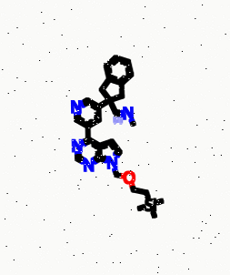 C/N=C/C1(c2cncc(-c3ncnc4c3ccn4COCC[Si](C)(C)C)c2)Cc2ccccc2C1